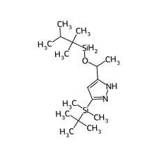 CC(O[SiH2]C(C)(C)C(C)C)c1cc([Si](C)(C)C(C)(C)C)n[nH]1